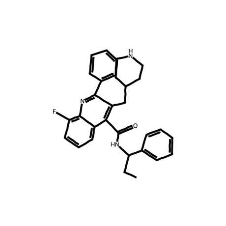 CCC(NC(=O)c1c(CC2CCNCC2)c(-c2ccccc2)nc2c(F)cccc12)c1ccccc1